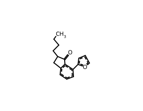 CCCCC1Cc2cccc(-c3ccco3)c2C1=O